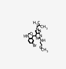 COCCNc1nc(C2OCNc3ccc(Br)cc32)c2cn(CC(C)C)nc2n1